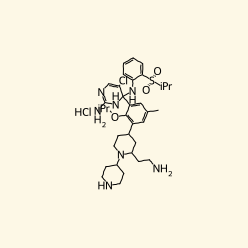 Cc1cc(C2CCN(C3CCNCC3)C(CCN)C2)c(OC(C)C)c(C2(Nc3ccccc3S(=O)(=O)C(C)C)NC(N)=NC=C2Cl)c1.Cl